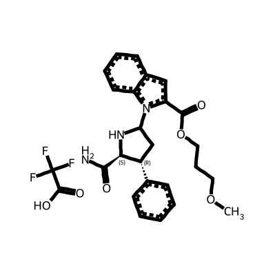 COCCCOC(=O)c1cc2ccccc2n1C1C[C@H](c2ccccc2)[C@@H](C(N)=O)N1.O=C(O)C(F)(F)F